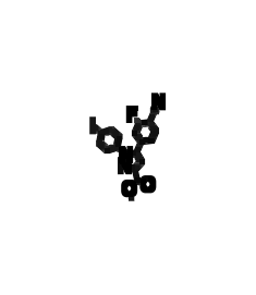 COC(=O)c1cc(-c2ccc(C#N)c(F)c2)n(-c2ccc(I)cc2)n1